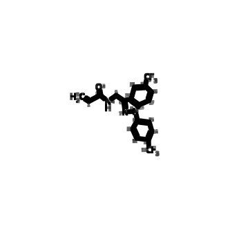 C=CC(=O)NCc1nn(-c2ccc(C(F)(F)F)cc2)c2ccc(C(F)(F)F)cc12